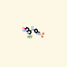 Cl.Cl.O=c1ccc2c(Nc3ccc(CN[SH](=O)=O)cc3)ccnc2[nH]1